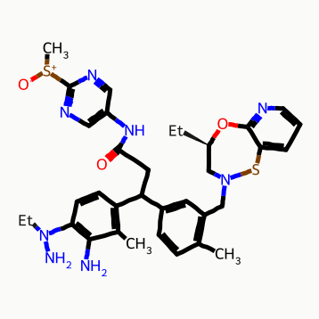 CC[C@@H]1CN(Cc2cc(C(CC(=O)Nc3cnc([S+](C)[O-])nc3)c3ccc(N(N)CC)c(N)c3C)ccc2C)Sc2cccnc2O1